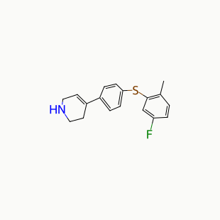 Cc1ccc(F)cc1Sc1ccc(C2=CCNCC2)cc1